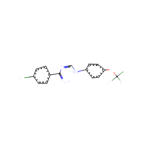 N=C(/N=C\Nc1ccc(OC(F)(F)F)cc1)c1ccc(Br)cc1